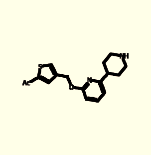 CC(=O)c1cc(COc2cccc(C3CCNCC3)n2)cs1